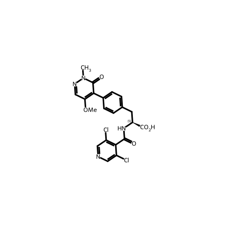 COc1cnn(C)c(=O)c1-c1ccc(C[C@H](NC(=O)c2c(Cl)cncc2Cl)C(=O)O)cc1